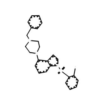 O=S(=O)(c1ccccc1Br)n1ccc2c(N3CCN(Cc4ccccc4)CC3)cccc21